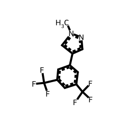 Cn1cc(-c2cc(C(F)(F)F)cc(C(F)(F)F)c2)cn1